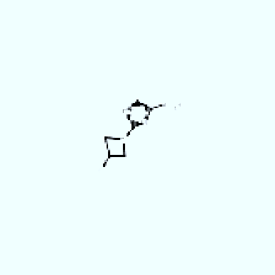 O=C(O)c1coc(N2CC(O)C2)n1